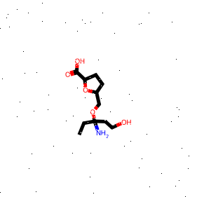 CCC(N)(CCO)OCC1CCC(C(=O)O)O1